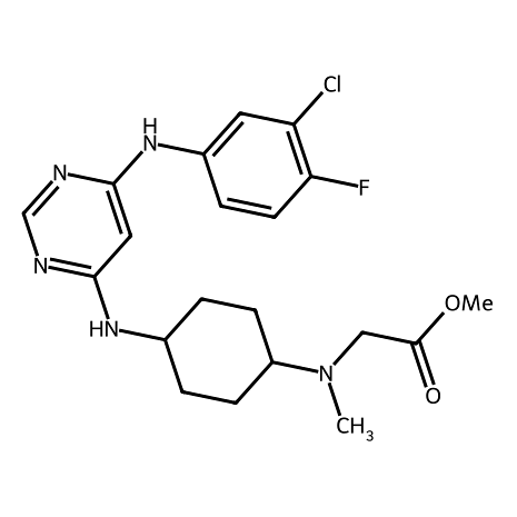 COC(=O)CN(C)C1CCC(Nc2cc(Nc3ccc(F)c(Cl)c3)ncn2)CC1